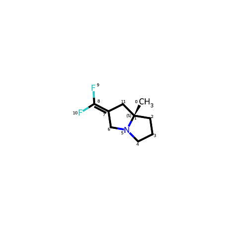 C[C@@]12CCCN1CC(=C(F)F)C2